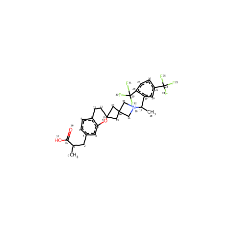 CC(Cc1ccc2c(c1)OC1(CC2)CC2(CN(C(C)c3cc(C(F)(F)F)ccc3C(F)(F)F)C2)C1)C(=O)O